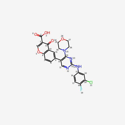 O=C(O)c1coc2ccc(-c3cnc(Nc4ccc(F)c(Cl)c4)nc3N3CCOCC3)cc2c1=O